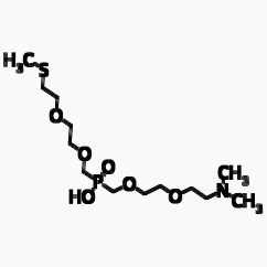 CSCCOCCOCP(=O)(O)COCCOCCN(C)C